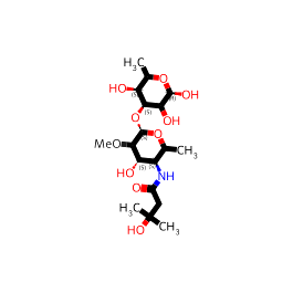 COC1[C@H](O[C@@H]2C(O)[C@H](O)OC(C)[C@@H]2O)OC(C)[C@@H](NC(=O)CC(C)(C)O)[C@@H]1O